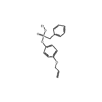 C=CCOc1ccc(OP(=O)(Cc2ccccc2)OCC)cc1